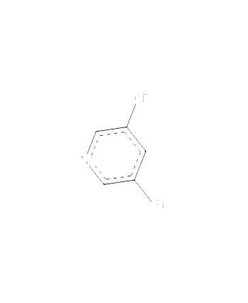 CC(C)c1cncc(C(F)(F)F)c1